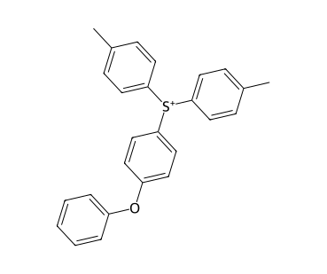 Cc1ccc([S+](c2ccc(C)cc2)c2ccc(Oc3ccccc3)cc2)cc1